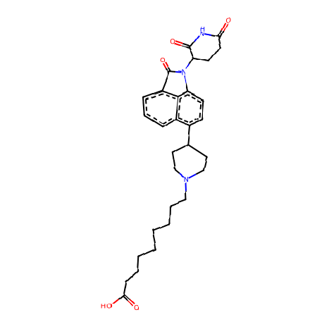 O=C(O)CCCCCCCCN1CCC(c2ccc3c4c(cccc24)C(=O)N3C2CCC(=O)NC2=O)CC1